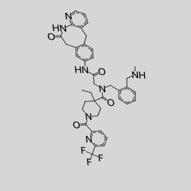 CCC1(C(=O)N(CC(=O)Nc2ccc3c(c2)CC(=O)Nc2ncccc2C3)Cc2ccccc2CNC)CCN(C(=O)c2cccc(C(F)(F)F)n2)CC1